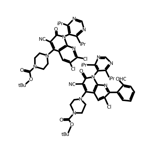 CC(C)c1ncnc(C(C)C)c1-n1c(=O)c(C#N)c(N2CCN(C(=O)OC(C)(C)C)CC2)c2cc(Cl)c(-c3ccccc3C=O)nc21.CC(C)c1ncnc(C(C)C)c1-n1c(=O)c(C#N)c(N2CCN(C(=O)OC(C)(C)C)CC2)c2cc(Cl)c(Cl)nc21